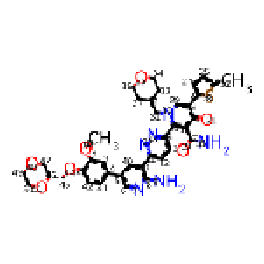 COc1cc(-c2cnc(N)c(-c3ccc(-c4c(C(N)=O)c(=O)c(-c5ccc(C)s5)cn4CC4CCOCC4)nn3)c2)ccc1OC[C@H]1COCCO1